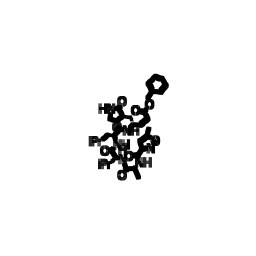 Cc1cc(C(=O)NC(C)C(=O)N[C@H](C(=O)N[C@@H](CC(C)C)C(=O)N[C@@H](/C=C\C(=O)OCc2ccccc2)C[C@H]2CCNC2=O)C(C)C)no1